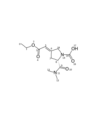 CCOC(=O)/C=C1\C[C@@H](C(=O)N(C)C)N(C(=O)O)C1